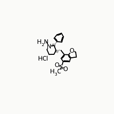 CS(=O)(=O)c1cc2c(c(C[C@@H]3CCCN(N)[C@@H]3c3ccccc3)c1)OCC2.Cl